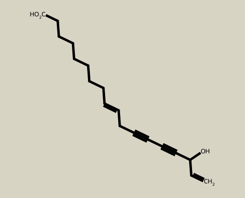 C=CC(O)C#CC#CCC=CCCCCCCCC(=O)O